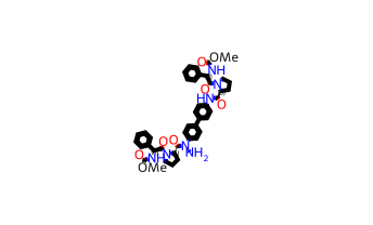 COC(=O)N[C@@H](C(=O)N1CCC[C@H]1C(=O)Nc1ccc(-c2ccc(N(N)C(=O)[C@@H]3CCCN3C(=O)[C@H](NC(=O)OC)c3ccccc3)cc2)cc1)c1ccccc1